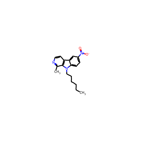 CCCCCCn1c2ccc([N+](=O)[O-])cc2c2ccnc(C)c21